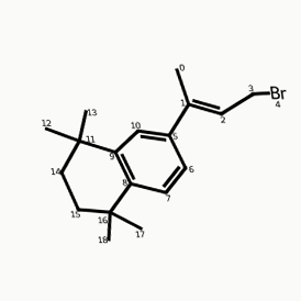 C/C(=C\CBr)c1ccc2c(c1)C(C)(C)CCC2(C)C